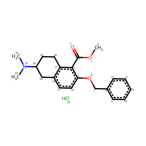 COC(=O)c1c(OCc2ccccc2)ccc2c1CCC(N(C)C)C2.Cl